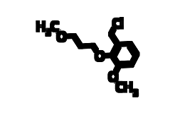 COCCCOc1c(CCl)cccc1OC